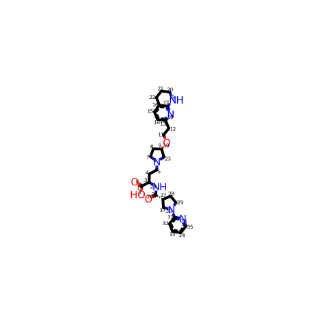 O=C(O)C(CCN1CC[C@@H](OCCc2ccc3c(n2)NCCC3)C1)NC(=O)[C@@H]1CCN(c2ccccn2)C1